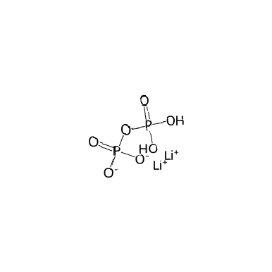 O=P([O-])([O-])OP(=O)(O)O.[Li+].[Li+]